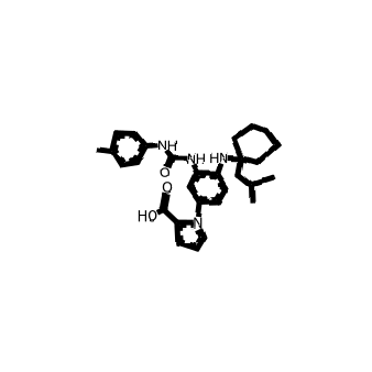 Cc1ccc(NC(=O)Nc2cc(-n3cccc3C(=O)O)ccc2NC2(CC(C)C)CCCCC2)cc1